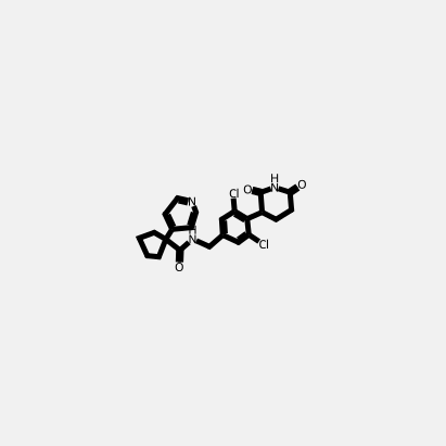 O=C1CCC(c2c(Cl)cc(CNC(=O)C3(c4ccncc4)CCCC3)cc2Cl)C(=O)N1